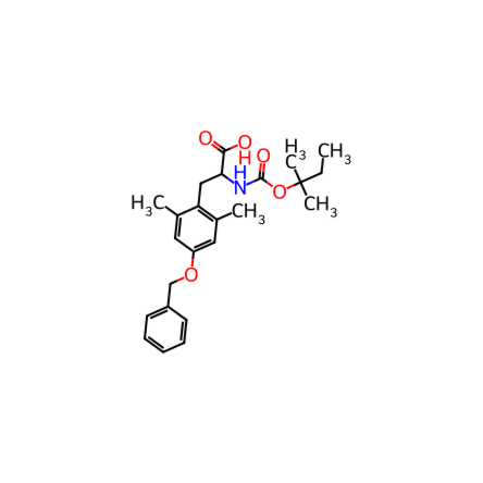 CCC(C)(C)OC(=O)NC(Cc1c(C)cc(OCc2ccccc2)cc1C)C(=O)O